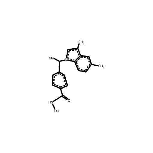 Cc1ccc2c(c1)c(C)cn2C(c1ccc(C(=O)NO)cc1)C(C)(C)C